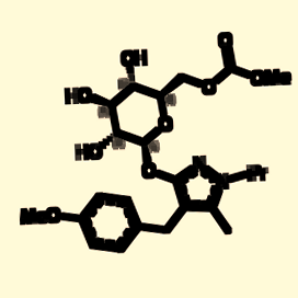 COC(=O)OC[C@H]1O[C@@H](Oc2nn(C(C)C)c(C)c2Cc2ccc(OC)cc2)[C@H](O)[C@@H](O)[C@@H]1O